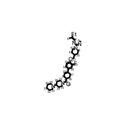 C=N/C(=N\C=C(/C)CC)N1CCC(COc2ccc(C3=CCC(C(=O)N4CCC(N5CCCCC5)CC4)CC3)cc2F)CC1